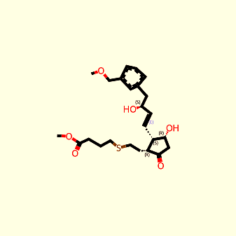 COCc1cccc(C[C@H](O)/C=C/[C@@H]2[C@H](O)CC(=O)[C@@H]2CCSCCCC(=O)OC)c1